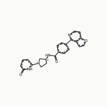 O=C(N[C@H]1CCN(c2cccc(=O)[nH]2)C1)c1ccc(-c2nccc3occc23)cc1